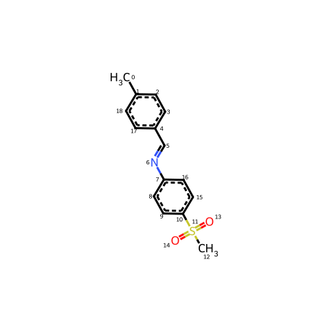 Cc1ccc(/C=N/c2ccc(S(C)(=O)=O)cc2)cc1